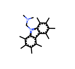 Cc1c(C)c(C)c2c(c1C)c1c(C)c(C)c(C)c(C)c1n2CN(C)C